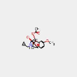 COc1ccc2c(c1)[C@]13CCN(CC4CC4)[C@H](C2)[C@]1(O)CC(=O)C(OC(C)=O)C3